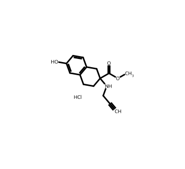 C#CCNC1(C(=O)OC)CCc2cc(O)ccc2C1.Cl